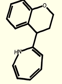 C1=CC=C(C2CCOc3ccccc32)NC=C1